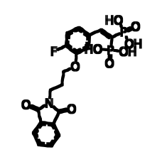 O=C1c2ccccc2C(=O)N1CCCOc1cc(C=C(P(=O)(O)O)P(=O)(O)O)ccc1F